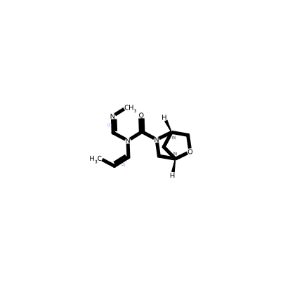 C/C=C\N(/C=N\C)C(=O)N1C[C@@H]2C[C@H]1CO2